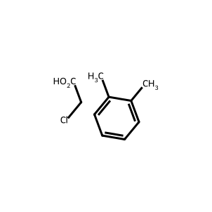 Cc1ccccc1C.O=C(O)CCl